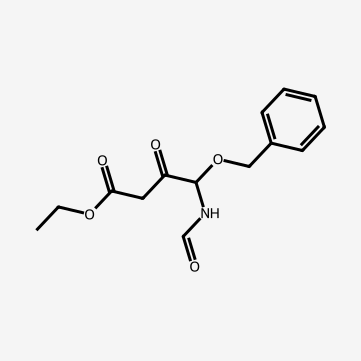 CCOC(=O)CC(=O)C(NC=O)OCc1ccccc1